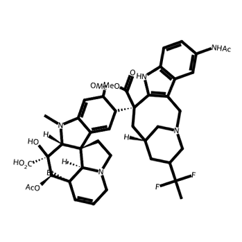 CC[C@]12C=CCN3CC[C@@]4(C5=CC([C@@]6(C(=O)OC)C[C@H]7CC(C(C)(F)F)CN(Cc8c6[nH]c6ccc(NC(C)=O)cc86)C7)C(OC)C=C5N(C)[C@H]4[C@@](O)(C(=O)O)[C@@H]1OC(C)=O)[C@@H]32